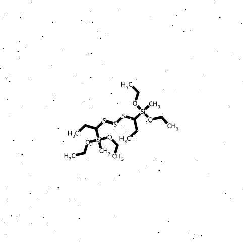 CCO[Si](C)(OCC)C(CC)SSSC(CC)[Si](C)(OCC)OCC